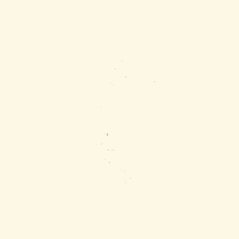 COc1ccc(N(Cc2cnccc2C)C2CCN(C(C)CCNC(=O)c3c(C)cc(-n4cnnc4)cc3C)CC2)cc1